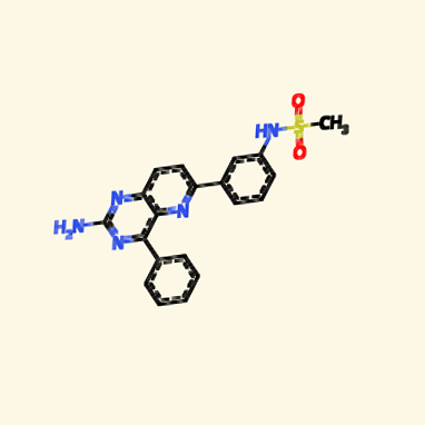 CS(=O)(=O)Nc1cccc(-c2ccc3nc(N)nc(-c4ccccc4)c3n2)c1